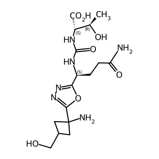 C[C@@H](O)[C@H](NC(=O)N[C@@H](CCC(N)=O)c1nnc(C2(N)CC(CO)C2)o1)C(=O)O